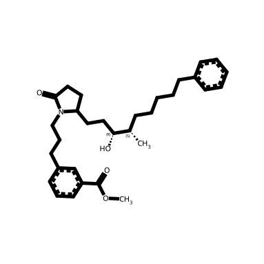 COC(=O)c1cccc(CCCN2C(=O)CCC2CC[C@@H](O)[C@@H](C)CCCCCc2ccccc2)c1